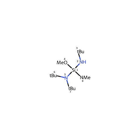 CN[Si](NC(C)(C)C)(OC)N(C(C)(C)C)C(C)(C)C